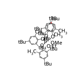 CCO[PH](Oc1c(C)cc(C(C)(C)C)cc1C(C)(C)C)(Oc1c(C)cc(C(C)(C)C)cc1C(C)(C)C)[PH](OC)(Oc1c(C)cc(C(C)(C)C)cc1C(C)(C)C)Oc1c(C)cc(C(C)(C)C)cc1C(C)(C)C